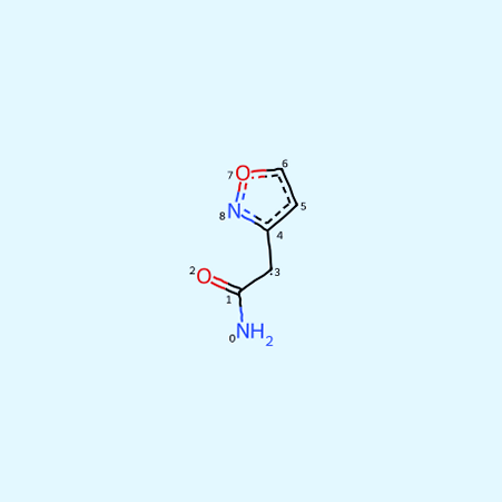 NC(=O)[CH]c1ccon1